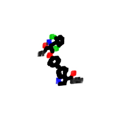 COC(=O)c1ccnc2cc(-c3ccc(OCc4c(-c5c(Cl)cccc5Cl)noc4C(C)C)cc3)ccc12